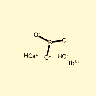 [CaH+].[O-]B([O-])[O-].[OH-].[Tb+3]